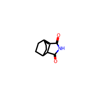 O=C1NC(=O)C2C1=C1CCC2CC1